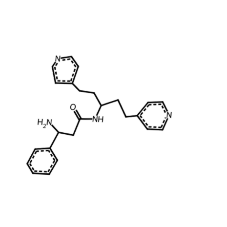 NC(CC(=O)NC(CCc1ccncc1)CCc1ccncc1)c1ccccc1